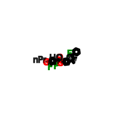 CCCOc1ccc(C(=O)Oc2ccc(C(C)[C@H](C)[C@](F)(C(=O)O)C3CCCCC3)cc2)c(F)c1F